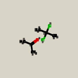 CC(C)=O.C[Si](C)(Cl)Cl